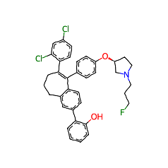 Oc1ccccc1-c1ccc2c(c1)CCCC(c1ccc(Cl)cc1Cl)=C2c1ccc(O[C@H]2CCN(CCCF)C2)cc1